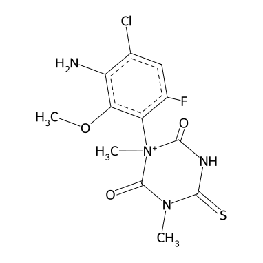 COc1c(N)c(Cl)cc(F)c1[N+]1(C)C(=O)NC(=S)N(C)C1=O